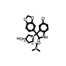 CN(C)C(=O)[C@@H]1C[C@@H](O)CN1C1(c2ccc3c(c2)OCO3)C(=O)Nc2ccc(Cl)cc21